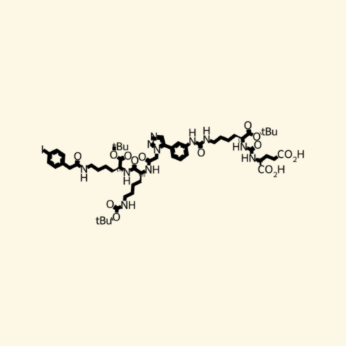 CC(C)(C)OC(=O)NCCCC[C@H](NC(=O)Cn1nncc1-c1cccc(NC(=O)NCCCC[C@H](NC(=O)N[C@@H](CCC(=O)O)C(=O)O)C(=O)OC(C)(C)C)c1)C(=O)N[C@@H](CCCCNC(=O)Cc1ccc(I)cc1)C(=O)OC(C)(C)C